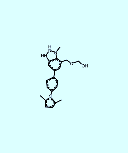 Cc1ccc(C)n1-c1ccc(-c2cc(COCO)c3c(c2)NNN3C)cc1